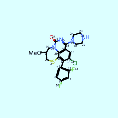 COC1CSc2c(-c3ccc(F)cc3F)c(Cl)cc3c(N4CCNCC4)nc(=O)n(c23)C1